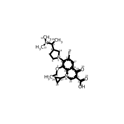 CCOc1c(N2CCC(C(C)N(C)C)C2)c(F)cc2c(=O)c(C(=O)O)cn(C3CC3)c12